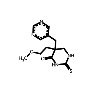 COCCC1(Cc2cncnc2)CNC(=S)NC1=O